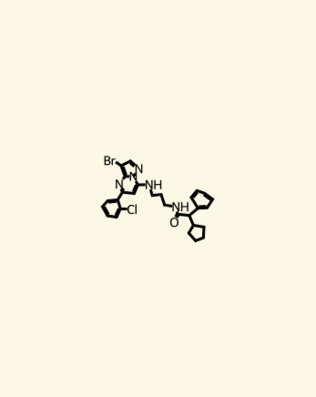 O=C(NCCCNc1cc(-c2ccccc2Cl)nc2c(Br)cnn12)C(c1ccccc1)C1CCCC1